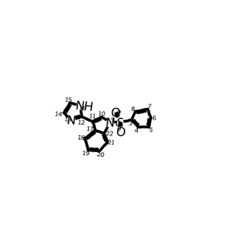 O=S(=O)(c1ccccc1)n1cc(-c2ncc[nH]2)c2ccccc21